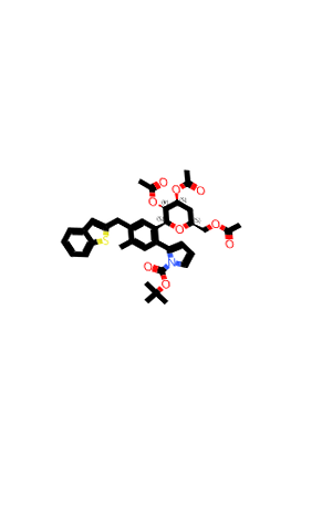 CC(=O)OC[C@@H]1C[C@H](OC(C)=O)[C@@H](OC(C)=O)[C@H](c2cc(Cc3cc4ccccc4s3)c(C)cc2-c2cccn2C(=O)OC(C)(C)C)O1